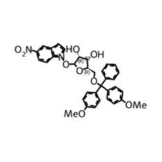 COc1ccc(C(OC[C@H]2OC(On3ccc4cc([N+](=O)[O-])ccc43)[C@H](O)[C@@H]2O)(c2ccccc2)c2ccc(OC)cc2)cc1